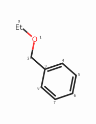 CCO[C]c1ccccc1